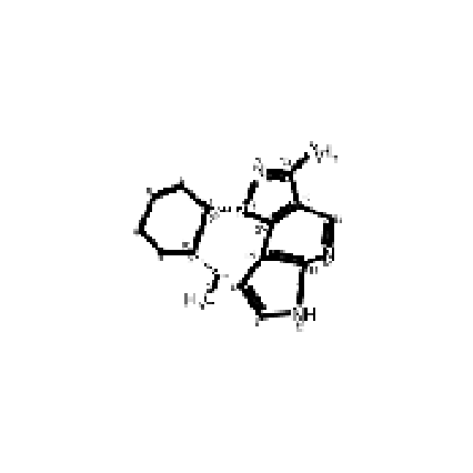 CC[C@@H]1CCCC[C@@H]1n1nc(N)c2cnc3[nH]ccc3c21